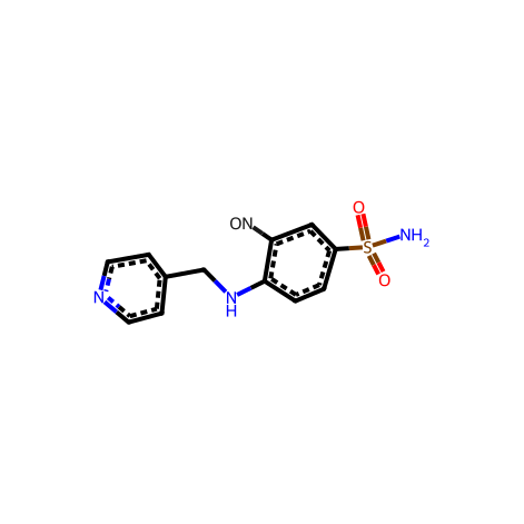 NS(=O)(=O)c1ccc(NCc2ccncc2)c(N=O)c1